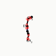 C=CC(=O)OCCCCOc1ccc(-c2ccc(/C=C/C(=O)Oc3ccc(OCCCCCCOC(=O)C(=C)CC(=O)OC4CCCCC4)c(CC)c3)cc2)cc1